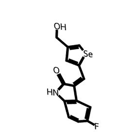 O=C1Nc2ccc(F)cc2C1=Cc1cc(CO)c[se]1